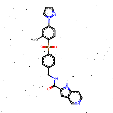 COc1cc(-n2cccn2)ccc1S(=O)(=O)c1ccc(CNC(=O)c2cc3cnccc3[nH]2)cc1